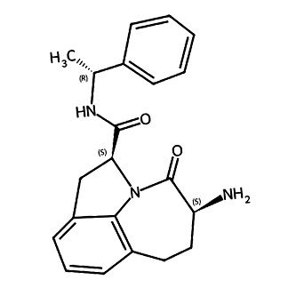 C[C@@H](NC(=O)[C@@H]1Cc2cccc3c2N1C(=O)[C@@H](N)CC3)c1ccccc1